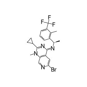 Cc1c([C@@H](C)/N=c2\nc(C3CC3)n(C)c3cnc(Br)cc23)cccc1C(F)(F)F